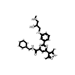 CNCC(O)COc1cccc(-c2nc(C(=O)NCC3CCCCC3)cc(-c3c(C)noc3C)n2)c1